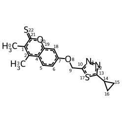 Cc1c(C)c2ccc(OCc3nnc(C4CC4)s3)cc2oc1=S